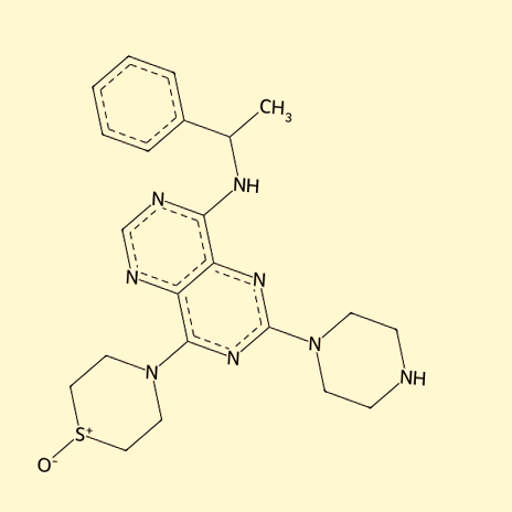 CC(Nc1ncnc2c(N3CC[S+]([O-])CC3)nc(N3CCNCC3)nc12)c1ccccc1